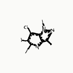 Cc1nn(I)c2c(Cl)c(I)c(I)nc12